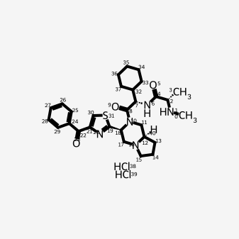 CN[C@@H](C)C(=O)N[C@H](C(=O)N1C[C@H]2CCCN2C[C@H]1c1nc(C(=O)c2ccccc2)cs1)C1CCCCC1.Cl.Cl